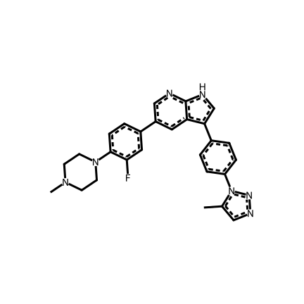 Cc1cnnn1-c1ccc(-c2c[nH]c3ncc(-c4ccc(N5CCN(C)CC5)c(F)c4)cc23)cc1